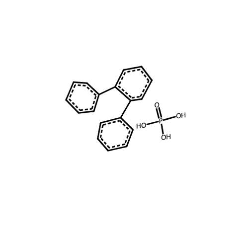 O=P(O)(O)O.c1ccc(-c2ccccc2-c2ccccc2)cc1